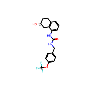 O=C(NCc1ccc(OC(F)(F)F)cc1)Nc1cccc2c1C[C@H](O)CC2